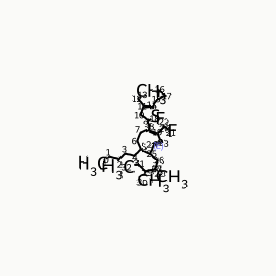 CCCCCC1CCC(C2CC(CC)=C(C3CC3)S2)=C(C(F)F)/C=C/C1C[C@@H](C)C(C)CC